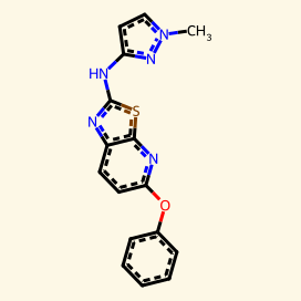 Cn1ccc(Nc2nc3ccc(Oc4ccccc4)nc3s2)n1